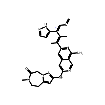 C=N/C=C(\C(C)=C(/C)c1cc2cc(Nc3cc4n(n3)CC(=O)N(C)CC4)ncc2c(N)n1)c1ccn[nH]1